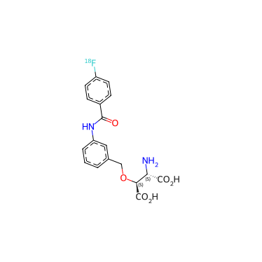 N[C@H](C(=O)O)[C@H](OCc1cccc(NC(=O)c2ccc([18F])cc2)c1)C(=O)O